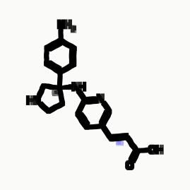 Nc1ccc([C@]2(Nc3ccc(/C=C/C(=O)O)cn3)CCNC2)cc1